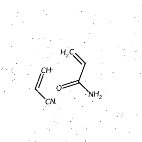 C=CC(N)=O.[CH]=CC#N